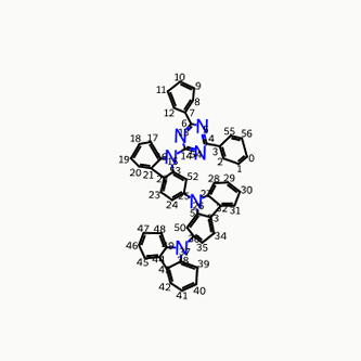 c1ccc(-c2nc(-c3ccccc3)nc(-n3c4ccccc4c4ccc(-n5c6ccccc6c6ccc(-n7c8ccccc8c8ccccc87)cc65)cc43)n2)cc1